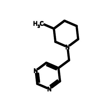 CC1CCCN(Cc2cncnc2)C1